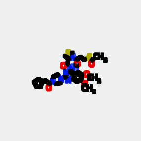 COc1cc2nc(N3CCN(C(=O)C=C4CCCC4)CC3)nc(NC(=O)C3CSCN3C(=O)CCSC(C)=O)c2cc1OC